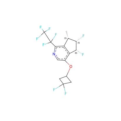 C[C@H]1c2c(C(F)(F)C(F)(F)F)ncc(OC3CC(F)(F)C3)c2[C@@H](F)[C@H]1F